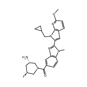 COc1ccc2cc(-c3nc4cc(C(=O)N5C[C@@H](N)C[C@H](F)C5)ccc4n3C)n(CC3CC3)c2n1